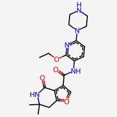 CCOc1nc(N2CCNCC2)ccc1NC(=O)c1coc2c1C(=O)NC(C)(C)C2